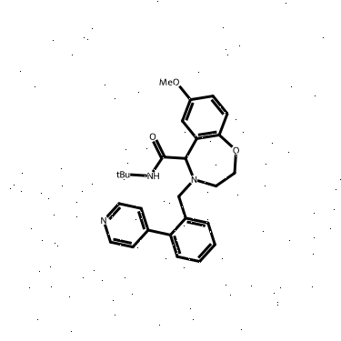 COc1ccc2c(c1)C(C(=O)NC(C)(C)C)N(Cc1ccccc1-c1ccncc1)CCO2